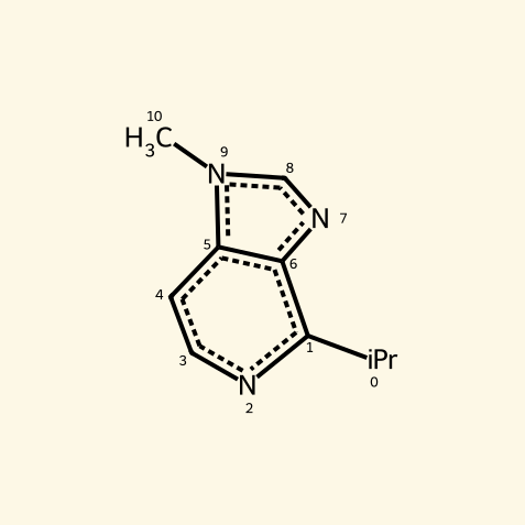 CC(C)c1nccc2c1ncn2C